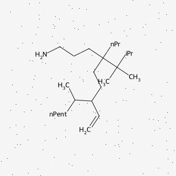 C=CC(CCC(CCC)(CCCN)C(C)(C)C(C)C)C(C)CCCCC